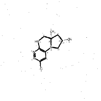 C[C@@]12CNc3nnc(Cl)cc3N1C[C@@H](O)C2